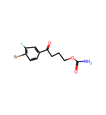 NC(=O)OCCCC(=O)c1ccc(Br)c(F)c1